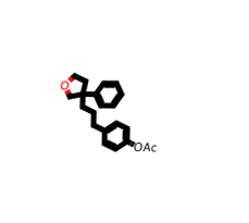 CC(=O)Oc1ccc(CCCC2(c3ccccc3)CCOC2)cc1